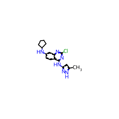 Cc1cc(Nc2nc(Cl)nc3cc(NC4CCCC4)ccc23)n[nH]1